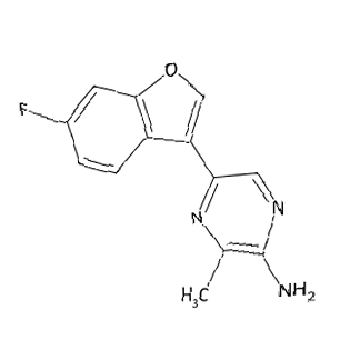 Cc1nc(-c2coc3cc(F)ccc23)cnc1N